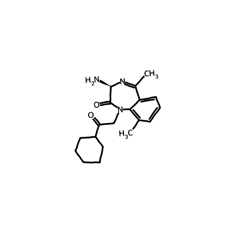 CC1=N[C@H](N)C(=O)N(CC(=O)C2CCCCC2)c2c(C)cccc21